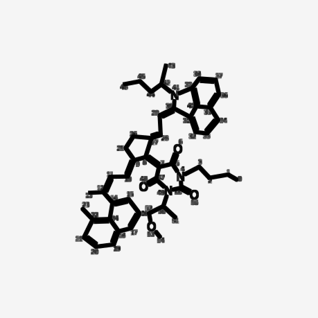 CCCCN1C(=O)/C(=C2C(=C/C=C(/C)c3cccc4cccc(C)c34)/CCC/2=C\C=c2/c3cccc4cccc(c43)n2C(C)CCC)C(=O)N(C(C)COC)C1=O